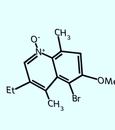 CCc1c[n+]([O-])c2c(C)cc(OC)c(Br)c2c1C